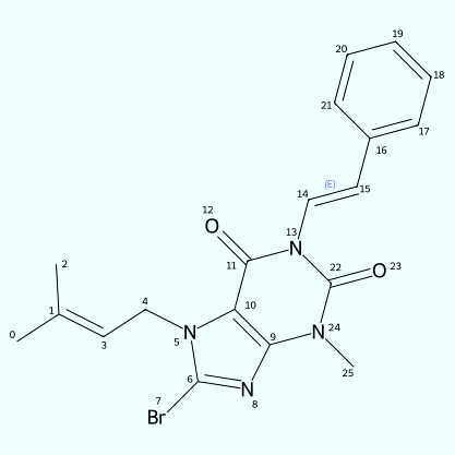 CC(C)=CCn1c(Br)nc2c1c(=O)n(/C=C/c1ccccc1)c(=O)n2C